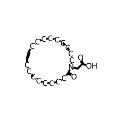 O=C(O)CN1CCCCCCCCC/C=C\CCCCCCCCC1=O